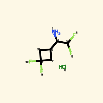 Cl.N[C@@H](C(F)F)C1CC(F)(F)C1